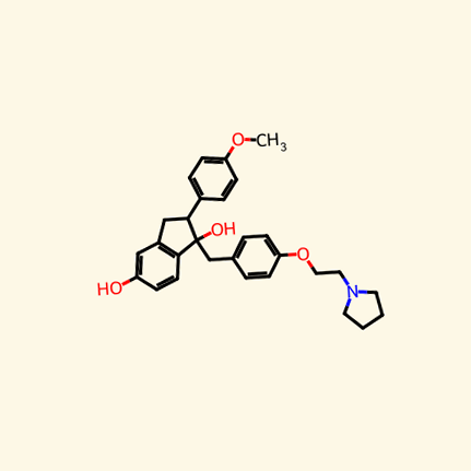 COc1ccc(C2Cc3cc(O)ccc3C2(O)Cc2ccc(OCCN3CCCC3)cc2)cc1